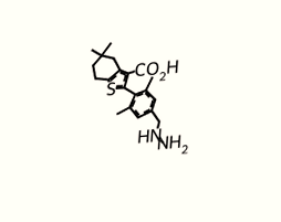 Cc1cc(CNN)cc(C)c1-c1sc2c(c1C(=O)O)CC(C)(C)CC2